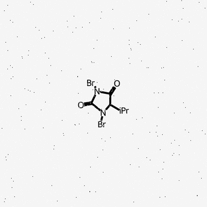 CC(C)C1C(=O)N(Br)C(=O)N1Br